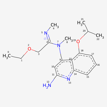 CCOC/C(=N/C)N(C)c1cc(N)nc2cccc(OC(C)C)c12